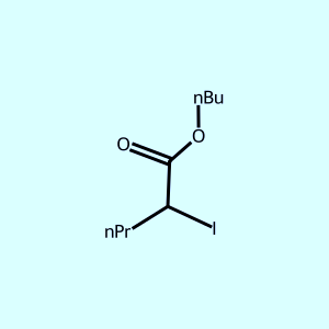 CCCCOC(=O)C(I)CCC